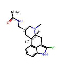 CC(=O)NC(=O)NC[C@@H]1C[C@@H]2c3cccc4[nH]c(Br)c(c34)C[C@H]2N(C)C1